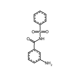 Nc1cccc(C(=O)NS(=O)(=O)c2ccccc2)c1